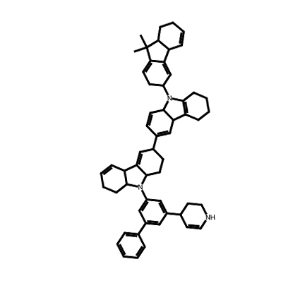 CC1(C)C2=CCC(N3C4=C(CCCC4)C4C=C(C5C=C6C7C=CCCC7N(c7cc(-c8ccccc8)cc(C8C=CNCC8)c7)C6CC5)C=CC43)C=C2C2C=CCCC21